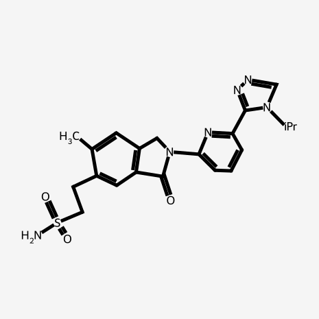 Cc1cc2c(cc1CCS(N)(=O)=O)C(=O)N(c1cccc(-c3nncn3C(C)C)n1)C2